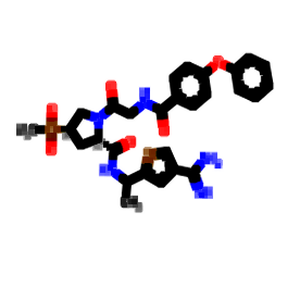 CC(NC(=O)[C@@H]1C[C@@H](S(C)(=O)=O)CN1C(=O)CNC(=O)c1ccc(Oc2ccccc2)cc1)c1cc(C(=N)N)cs1